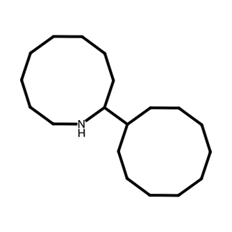 C1CCCCC(C2CCCCCCCCN2)CCCC1